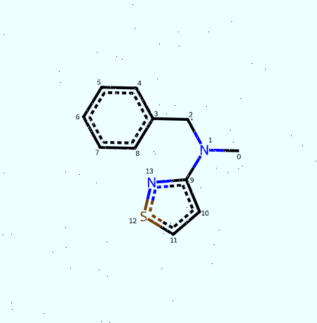 CN([CH]c1ccccc1)c1ccsn1